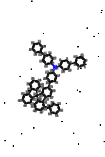 c1ccc(-c2ccc(N(c3ccc(-c4ccccc4)cc3)c3ccc(-c4ccc5c(c4)C4(c6ccccc6-c6ccccc64)c4cccc(-c6ccccc6)c4-5)cc3)cc2)cc1